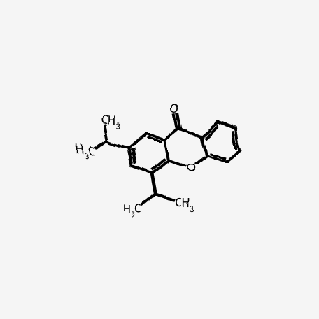 CC(C)c1cc(C(C)C)c2oc3ccccc3c(=O)c2c1